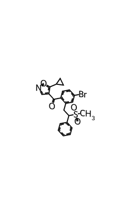 CS(=O)(=O)C(Cc1cc(Br)ccc1C(=O)c1cnoc1C1CC1)c1ccccc1